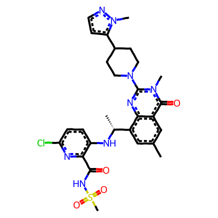 Cc1cc([C@@H](C)Nc2ccc(Cl)nc2C(=O)NS(C)(=O)=O)c2nc(N3CCC(c4ccnn4C)CC3)n(C)c(=O)c2c1